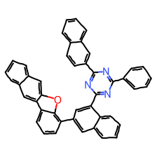 c1ccc(-c2nc(-c3ccc4ccccc4c3)nc(-c3cc(-c4cccc5c4oc4cc6ccccc6cc45)cc4ccccc34)n2)cc1